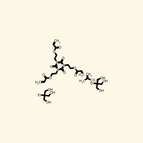 C=C(C)C(=O)O.C=CC(=O)OCCn1c(=O)n(CCOC(=O)C=C)c(=O)n(CCOC(=O)C=C)c1=O.CCC(CO)(CO)CO.CCC(CO)(CO)CO